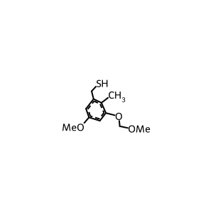 COCOc1cc(OC)cc(CS)c1C